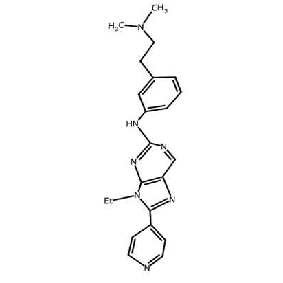 CCn1c(-c2ccncc2)nc2cnc(Nc3cccc(CCN(C)C)c3)nc21